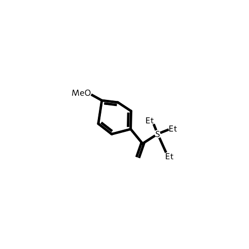 C=C(c1ccc(OC)cc1)S(CC)(CC)CC